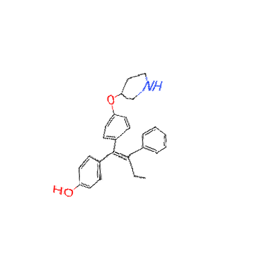 CC/C(=C(\c1ccc(O)cc1)c1ccc(OC2CCNC2)cc1)c1ccccc1